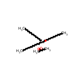 CCCCC(CC)C(=O)[O-].CCCCCCCCCCCCCCCCC[CH2][Sn+]([CH2]CCCCCCCCCCCCCCCCC)[CH2]CCCCCCCCCCCCCCCCC